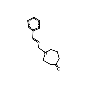 O=C1CCCN(CC=Cc2ccccc2)CC1